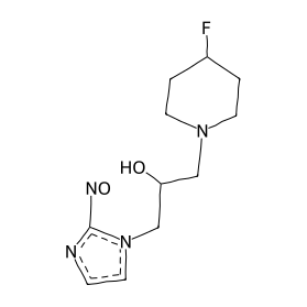 O=Nc1nccn1CC(O)CN1CCC(F)CC1